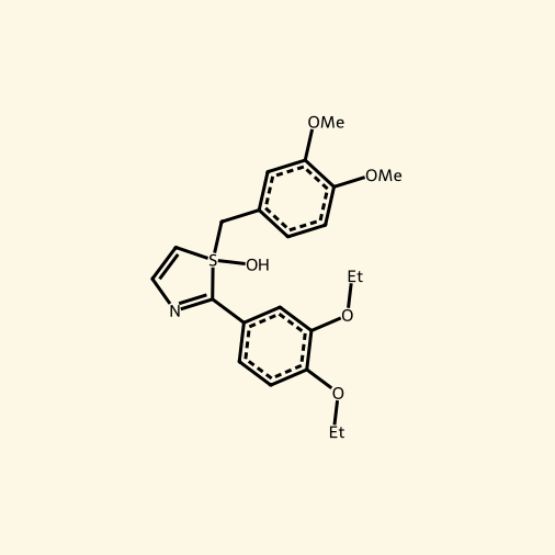 CCOc1ccc(C2=NC=CS2(O)Cc2ccc(OC)c(OC)c2)cc1OCC